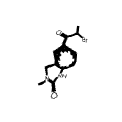 CC(Br)C(=O)c1ccc2c(c1)CN(C)C(=O)N2